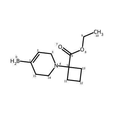 BC1=CCN(C2(C(=O)OCC)CCC2)CC1